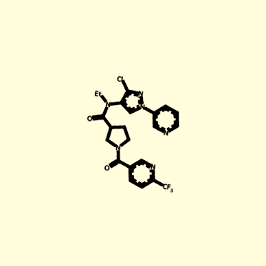 CCN(C(=O)C1CCN(C(=O)c2ccc(C(F)(F)F)nc2)C1)c1cn(-c2cccnc2)nc1Cl